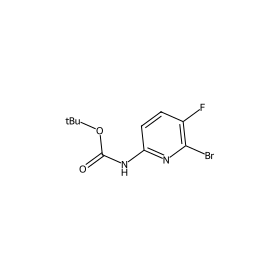 CC(C)(C)OC(=O)Nc1ccc(F)c(Br)n1